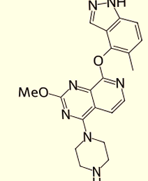 COc1nc(N2CCNCC2)c2ccnc(Oc3c(C)ccc4[nH]ncc34)c2n1